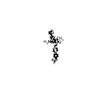 Cn1c(=O)n(CCN2CCN(c3ccc(OC(F)F)cc3)CC2)c2nc(N)n3nc(-c4ccco4)nc3c21